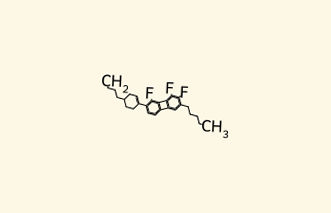 C=CCCC1CC=C(c2ccc3c(c2F)-c2c-3cc(CCCCC)c(F)c2F)CC1